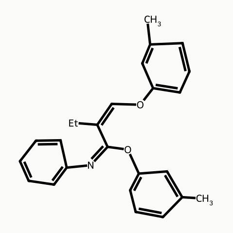 CCC(=COc1cccc(C)c1)C(=Nc1ccccc1)Oc1cccc(C)c1